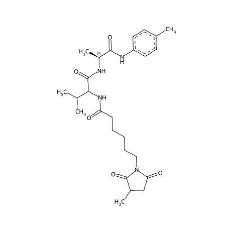 Cc1ccc(NC(=O)[C@H](C)NC(=O)C(NC(=O)CCCCCN2C(=O)CC(C)C2=O)C(C)C)cc1